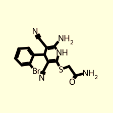 N#CC1=C(N)NC(SCC(N)=O)=C(C#N)C1c1ccccc1Br